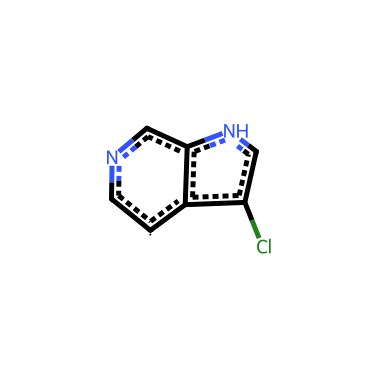 Clc1c[nH]c2cnc[c]c12